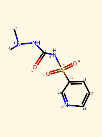 CN(C)NC(=O)NS(=O)(=O)c1cccnc1